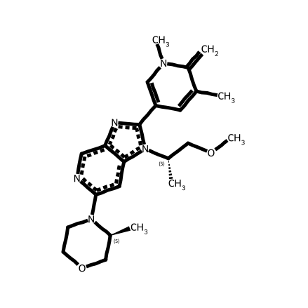 C=C1C(C)=CC(c2nc3cnc(N4CCOC[C@@H]4C)cc3n2[C@@H](C)COC)=CN1C